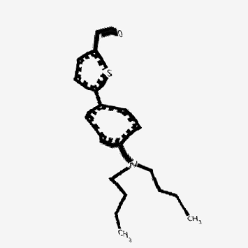 CCCCN(CCCC)c1ccc(-c2ccc(C=O)s2)cc1